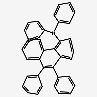 c1ccc(-c2c(-c3ccccc3)c3cccc(N(c4ccccc4)c4ccccc4)c3c3ccccc23)cc1